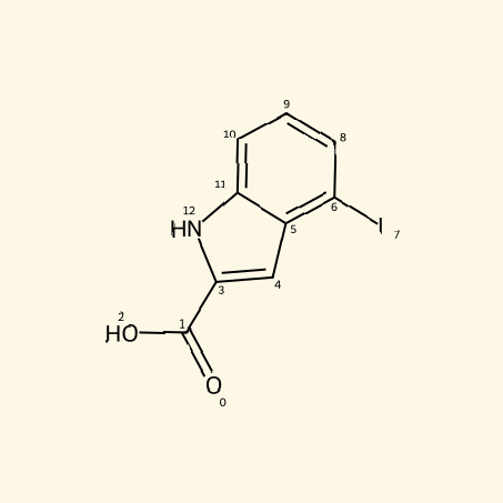 O=C(O)c1cc2c(I)cccc2[nH]1